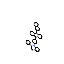 C1#CC(c2ccccc2)N(c2ccc(-c3c4ccccc4c(-c4ccc5ccccc5c4)c4ccccc34)cc2)c2ccccc21